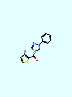 Cc1ccsc1C(=O)N1C=NN(c2ccccc2)C1